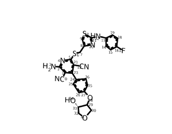 N#Cc1c(N)nc(SCc2csc(Nc3ccc(F)cc3)n2)c(C#N)c1-c1ccc(OC2COC[C@@H]2O)cc1